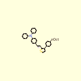 CCCCCCCCc1ccc(-c2ccsc2/C=C/c2ccc(N(c3ccccc3)c3ccccc3)cc2)cc1